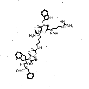 CN[C@@H](CCCNC(=N)N)C(=O)N[C@@H](Cc1c[nH]c2ccccc12)C(=O)N[C@@H](CCCCNC(=O)C[C@@H]1NC(=O)N(C2(C(=O)N[C@@H](C=O)Cc3ccccc3)Cc3ccccc3C2)C1=O)C(N)=O